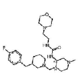 CN1CC[C@@H](CN2CCCC(Cc3ccc(F)cc3)C2)[C@@H](NC(=O)NCCN2CCOCC2)C1